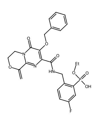 C=C1OCCn2c1nc(C(=O)NCc1ccc(F)cc1P(=O)(O)OCC)c(OCc1ccccc1)c2=O